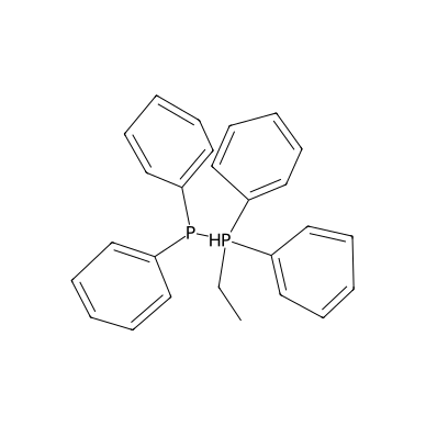 CC[PH](c1ccccc1)(c1ccccc1)P(c1ccccc1)c1ccccc1